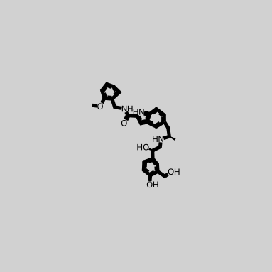 COc1ccccc1CNC(=O)c1cc2cc(C[C@@H](C)NC[C@H](O)c3ccc(O)c(CO)c3)ccc2[nH]1